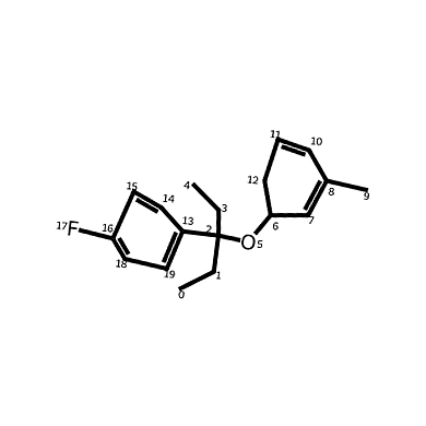 CCC(CC)(OC1C=C(C)C=CC1)c1ccc(F)cc1